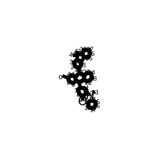 Cc1ccc2c(-c3ccc4c(c3)N(C)c3ccccc3O4)c3ccccc3c(-c3ccc4c(c3)-c3ccccc3C4(C)C)c2c1